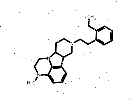 CCc1ccccc1CCN1CCC2C(C1)c1cccc3c1N2CCN3C